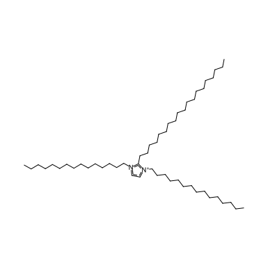 CCCCCCCCCCCCCCCCCCCc1n(CCCCCCCCCCCCCCC)cc[n+]1CCCCCCCCCCCCCCC